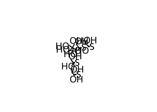 OCC(CO)(CO)CO.OCC(O)=S.OCC(O)=S.OCC(O)=S.OCC(O)=S